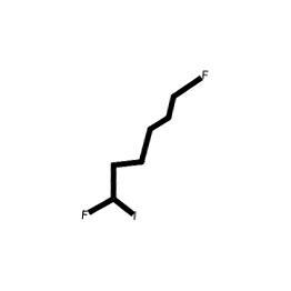 FCCCCCC(F)I